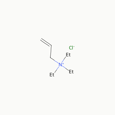 C=CC[N+](CC)(CC)CC.[Cl-]